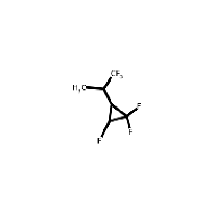 CC(C1C(F)C1(F)F)C(F)(F)F